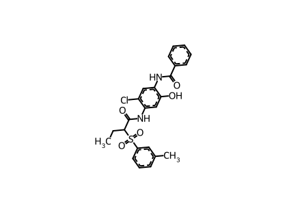 CCC(C(=O)Nc1cc(O)c(NC(=O)c2ccccc2)cc1Cl)S(=O)(=O)c1cccc(C)c1